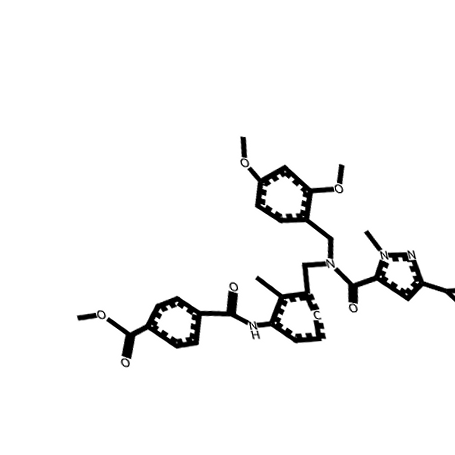 COC(=O)c1ccc(C(=O)Nc2cccc(CN(Cc3ccc(OC)cc3OC)C(=O)c3cc(C4CC4)nn3C)c2C)cc1